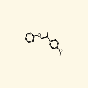 COc1ccc(C(C)=COc2ccccc2)cc1